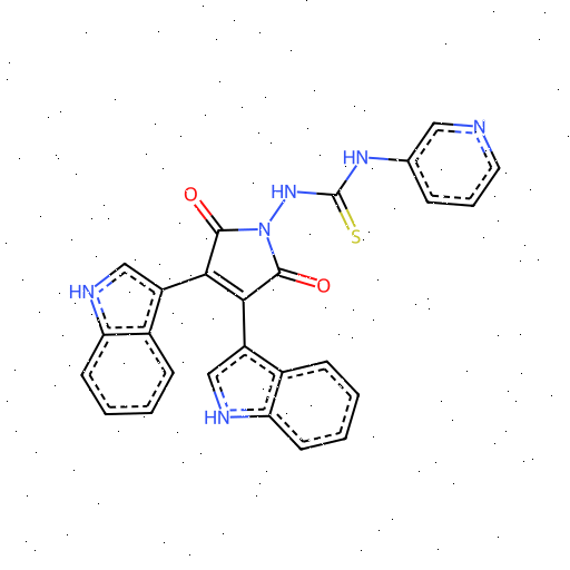 O=C1C(c2c[nH]c3ccccc23)=C(c2c[nH]c3ccccc23)C(=O)N1NC(=S)Nc1cccnc1